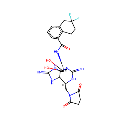 N=C1NC2[C@H](CN3C(=O)CCC3=O)NC(=N)N3C[C@H](NC(=O)c4cccc5c4CCC(F)(F)C5)C(O)(O)C23N1